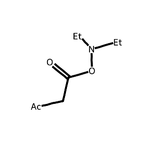 CCN(CC)OC(=O)CC(C)=O